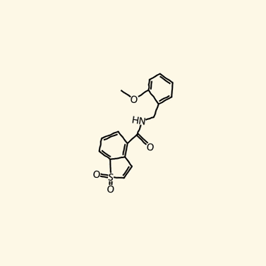 COc1ccccc1CNC(=O)c1cccc2c1C=CS2(=O)=O